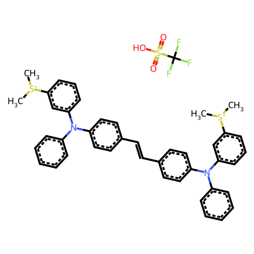 C[S+](C)c1cccc(N(c2ccccc2)c2ccc(C=Cc3ccc(N(c4ccccc4)c4cccc([S+](C)C)c4)cc3)cc2)c1.O=S(=O)(O)C(F)(F)F